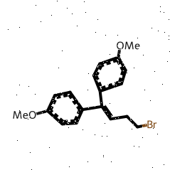 COc1ccc(C(=CCCBr)c2ccc(OC)cc2)cc1